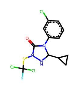 O=C1N(SC(F)(Cl)Cl)NC(C2CC2)N1c1cccc(Cl)c1